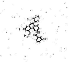 COc1cc(O)cc(/C=C(/C(=O)N(C)C)c2ccc(NC(=O)c3cccc(O)c3)cc2)c1